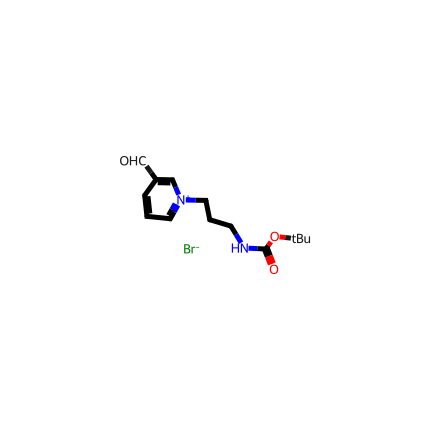 CC(C)(C)OC(=O)NCCC[n+]1cccc(C=O)c1.[Br-]